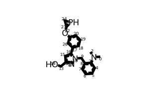 CN(C)c1ccccc1Cn1nc(CO)cc1-c1cccc(OC2CP2)c1